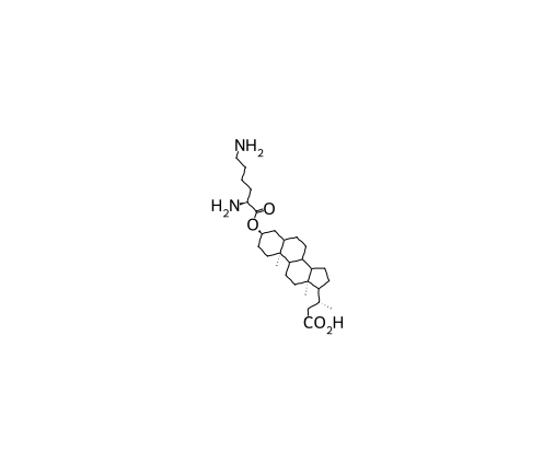 C[C@H](CC(=O)O)C1CCC2C3CCC4C[C@H](OC(=O)[C@@H](N)CCCCN)CC[C@]4(C)C3CC[C@@]21C